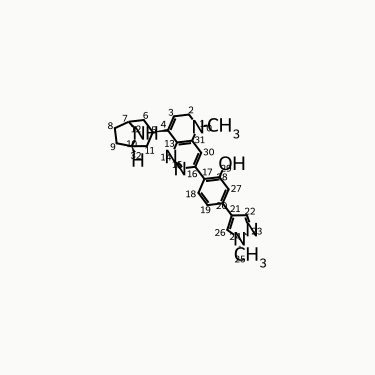 CN1CC=C([C@@H]2CC3CC[C@@H](C2)N3)c2nnc(-c3ccc(-c4cnn(C)c4)cc3O)cc21